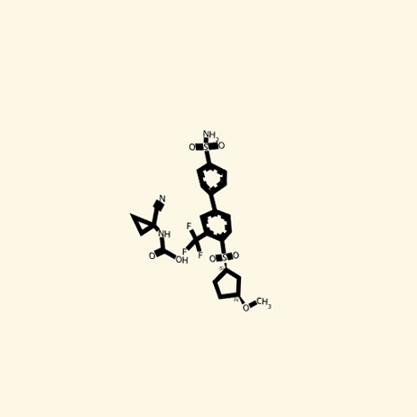 CO[C@H]1CC[C@H](S(=O)(=O)c2ccc(-c3ccc(S(N)(=O)=O)cc3)cc2C(F)(F)F)C1.N#CC1(NC(=O)O)CC1